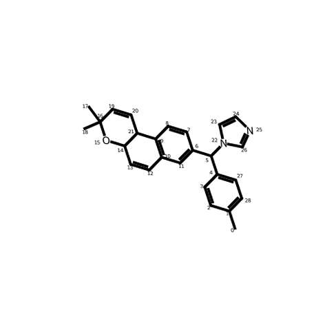 Cc1ccc(C(c2ccc3c(c2)C=CC2OC(C)(C)C=CC32)n2ccnc2)cc1